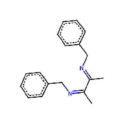 CC(=NCc1ccccc1)C(C)=NCc1ccccc1